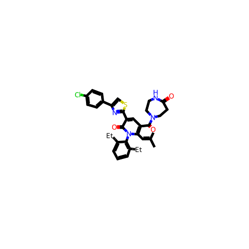 CCc1cccc(CC)c1-n1c(C=C(C)C)c(C(=O)N2CCNC(=O)CC2)cc(-c2nc(-c3ccc(Cl)cc3)cs2)c1=O